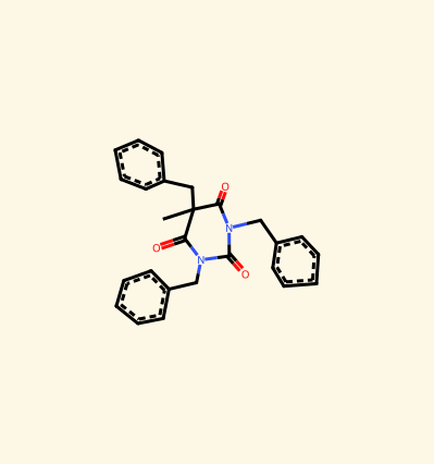 CC1(Cc2ccccc2)C(=O)N(Cc2ccccc2)C(=O)N(Cc2ccccc2)C1=O